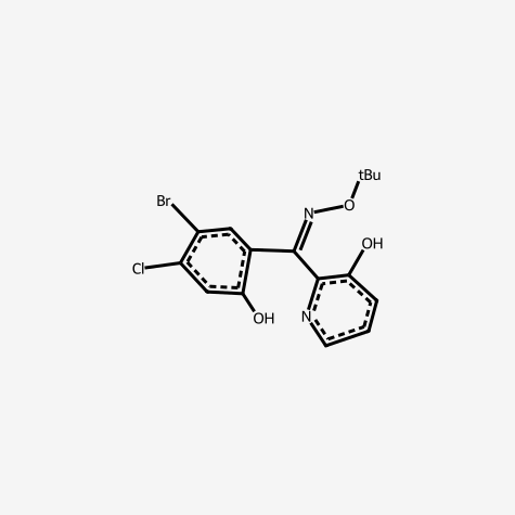 CC(C)(C)ON=C(c1cc(Br)c(Cl)cc1O)c1ncccc1O